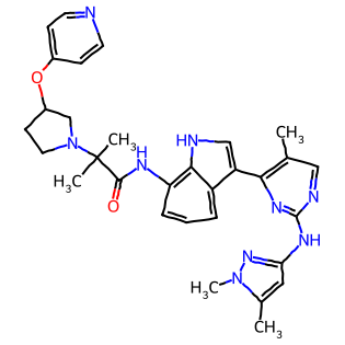 Cc1cnc(Nc2cc(C)n(C)n2)nc1-c1c[nH]c2c(NC(=O)C(C)(C)N3CCC(Oc4ccncc4)C3)cccc12